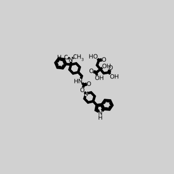 CN(C)C1(c2ccccc2)CCC(CNC(=O)ON2CCC(c3c[nH]c4ccccc34)CC2)CC1.O=C(O)CC(O)(CC(=O)O)C(=O)O